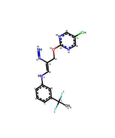 CC(F)(F)c1cccc(N/C=C(/COc2ncc(Cl)cn2)N=N)c1